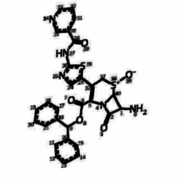 NC1C(=O)N2C(C(=O)OC(c3ccccc3)c3ccccc3)=C(c3cnc(NC(=O)c4cccnc4)s3)C[S+]([O-])C12